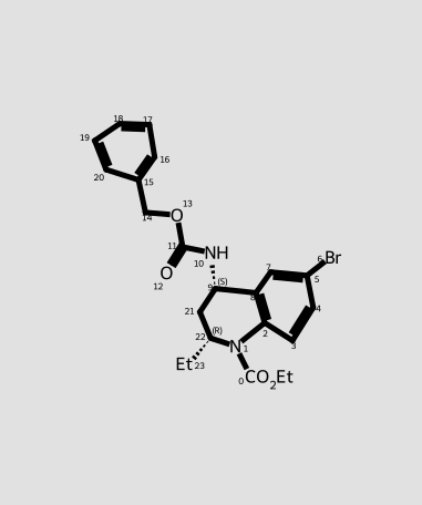 CCOC(=O)N1c2ccc(Br)cc2[C@@H](NC(=O)OCc2ccccc2)C[C@H]1CC